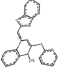 CN1C(Sc2ccccn2)=C/C(=C\c2nc3bcccc3o2)c2ccccc21